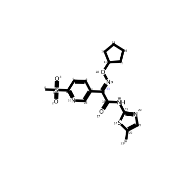 CS(=O)(=O)c1ccc(/C(=N\OC2CCCC2)C(=O)Nc2ncc(F)s2)cn1